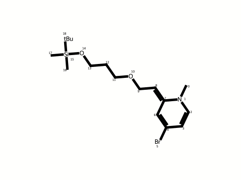 CN1C=CC(Br)=C/C1=C\COCCCO[Si](C)(C)C(C)(C)C